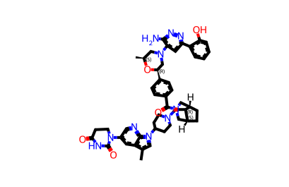 Cc1cn(C2CCN(CC3[C@@H]4CC[C@H]3CN(C(=O)c3ccc([C@@H]5CN(c6cc(-c7ccccc7O)nnc6N)C[C@H](C)O5)cc3)C4)CC2)c2ncc(N3CCC(=O)NC3=O)cc12